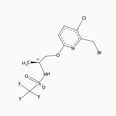 C[C@@H](COc1ccc(Cl)c(CBr)n1)NS(=O)(=O)C(F)(F)F